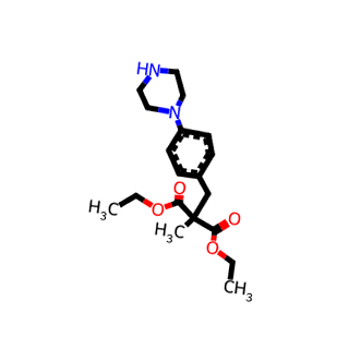 CCOC(=O)C(C)(Cc1ccc(N2CCNCC2)cc1)C(=O)OCC